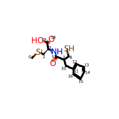 CSC[C@H](NC(=O)C(CS)Cc1ccccc1)C(=O)O